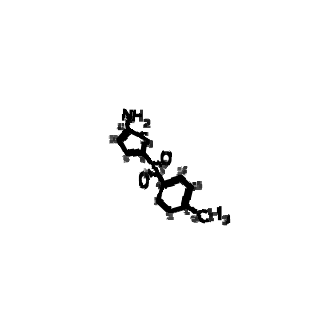 Cc1ccc(S(=O)(=O)c2ccc(N)s2)cc1